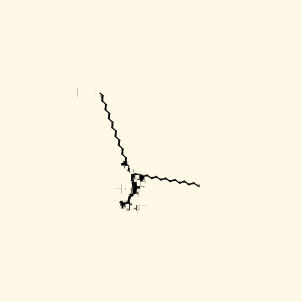 CCCCCCCCCCCCCCCCC(=O)OC[C@H](COP(=O)(O)OC[C@H](N)C(=O)O)OC(=O)CCCCCCCCCCCCC